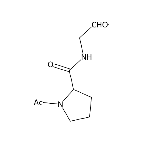 CC(=O)N1CCCC1C(=O)NC[C]=O